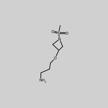 CS(=O)(=O)N1CC(OCCCN)C1